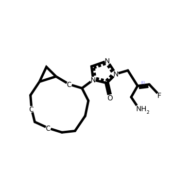 NC/C(=C\F)Cn1ncn(C2CCCCCCCCC3CC3C2)c1=O